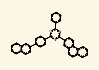 c1ccc(-c2nc(-c3ccc(-c4ccc5ccccc5c4)cc3)nc(-c3ccc4c(ccc5ccccc54)c3)n2)cc1